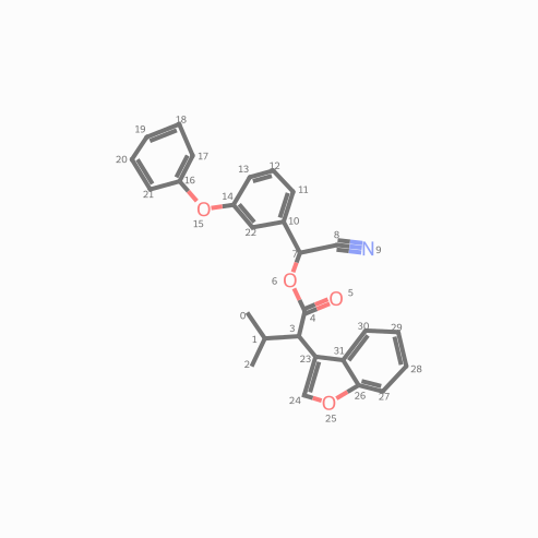 CC(C)C(C(=O)OC(C#N)c1cccc(Oc2ccccc2)c1)c1coc2ccccc12